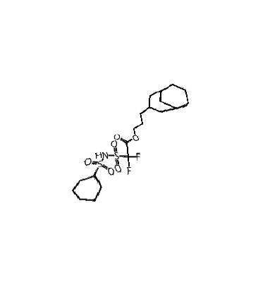 O=C(OCCCC1CC2CCCC(C1)C2)C(F)(F)S(=O)(=O)NS(=O)(=O)C1CCCCC1